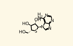 Nc1ncnc2ncn([C@H]3S[C@H](CO)[C@@H](O)[C@@H]3O)c12